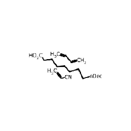 C=CC#N.C=CC=C.CCCCCCCCCCCCCCCCCC(=O)O